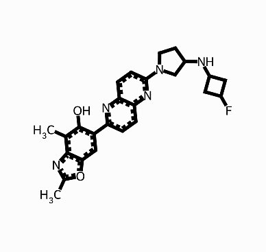 Cc1nc2c(C)c(O)c(-c3ccc4nc(N5CCC(NC6CC(F)C6)C5)ccc4n3)cc2o1